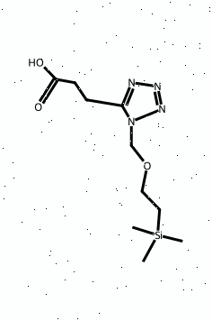 C[Si](C)(C)CCOCn1nnnc1CCC(=O)O